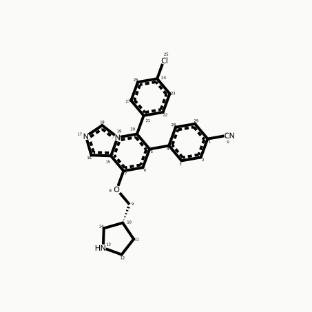 N#Cc1ccc(-c2cc(OC[C@@H]3CCNC3)c3cncn3c2-c2ccc(Cl)cc2)cc1